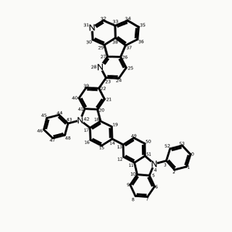 c1ccc(-n2c3ccccc3c3cc(-c4ccc5c(c4)c4cc(-c6ccc7c(n6)-c6cncc8cccc-7c68)ccc4n5-c4ccccc4)ccc32)cc1